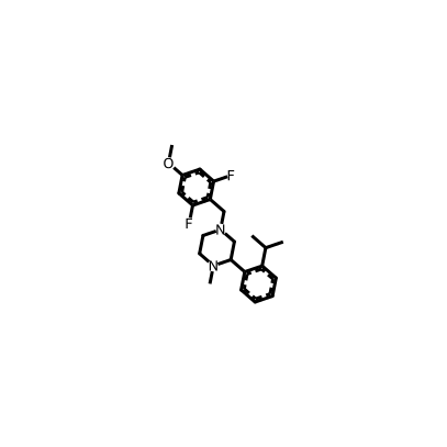 COc1cc(F)c(CN2CCN(C)C(c3ccccc3C(C)C)C2)c(F)c1